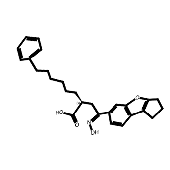 O=C(O)[C@@H](CCCCCCc1ccccc1)CC(=NO)c1ccc2c3c(oc2c1)CCC3